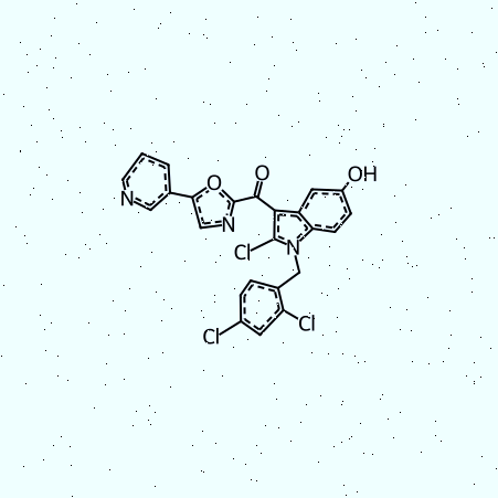 O=C(c1ncc(-c2cccnc2)o1)c1c(Cl)n(Cc2ccc(Cl)cc2Cl)c2ccc(O)cc12